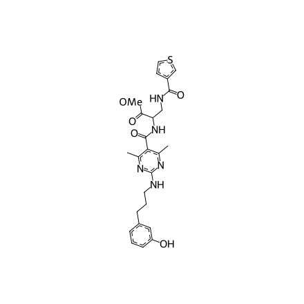 COC(=O)C(CNC(=O)c1ccsc1)NC(=O)c1c(C)nc(NCCCc2cccc(O)c2)nc1C